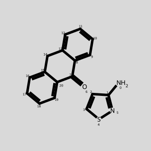 Nc1ccsn1.O=C1c2ccccc2Cc2ccccc21